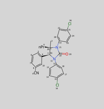 CCC[C@]1(C)[C@H](c2cccc(C#N)c2)N(c2ccc(Cl)cc2)C(=O)N1c1ccc(Cl)cc1